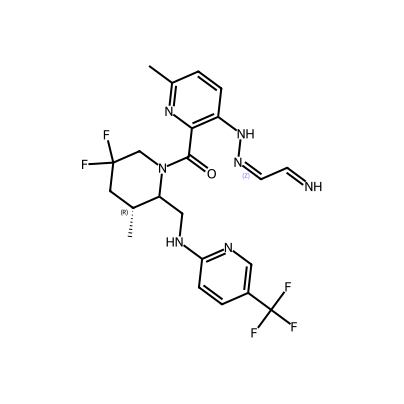 Cc1ccc(N/N=C\C=N)c(C(=O)N2CC(F)(F)C[C@@H](C)C2CNc2ccc(C(F)(F)F)cn2)n1